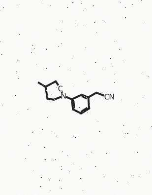 CC1CCN(c2cccc(CC#N)c2)CC1